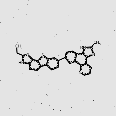 CCc1nc2c(ccc3c4ccc(-c5ccc6c(c5)c5ncccc5c5nc(C)[nH]c65)cc4sc32)[nH]1